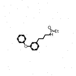 CC[PH](=O)CCCCc1cccc(Oc2ccccc2)c1